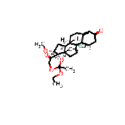 CCOC1(C)OCC(=O)[C@@]2(O1)[C@H](OC)C[C@H]1[C@@H]3CCC4=CC(=O)CC[C@]4(C)[C@@]3(F)CC[C@@]12C